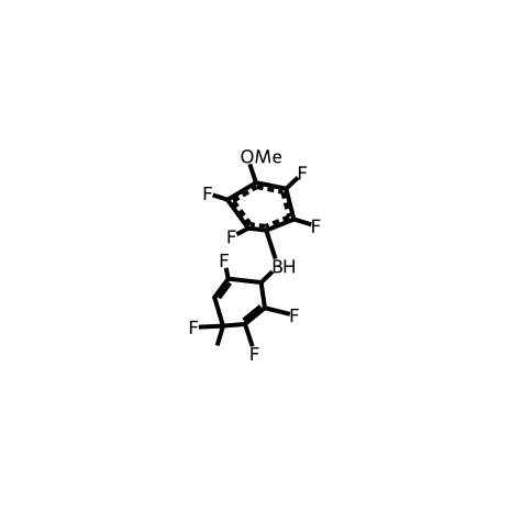 COc1c(F)c(F)c(BC2C(F)=CC(C)(F)C(F)=C2F)c(F)c1F